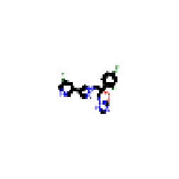 C[C@@H](n1cc(-c2cncc(F)c2)cn1)[C@](O)(Cn1cncn1)c1ccc(F)cc1F